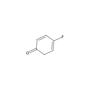 O=C1[C]=CC(F)=CC1